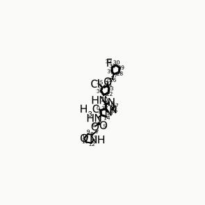 Cc1c(NC(=O)OCC2COCCN2)cn2ncnc(Nc3ccc(OCc4cccc(F)c4)c(Cl)c3)c12